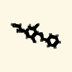 Cc1cc(NC=O)nc(C)c1OCc1ccccc1